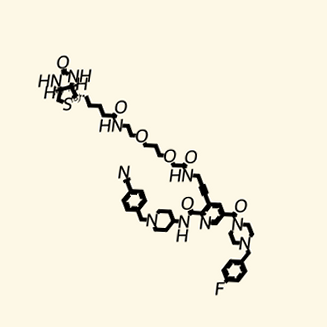 N#Cc1ccc(CN2CCC(NC(=O)c3ncc(C(=O)N4CCN(Cc5ccc(F)cc5)CC4)cc3C#CCNC(=O)COCCCOCCNC(=O)CCCC[C@@H]3SC[C@@H]4NC(=O)N[C@@H]43)CC2)cc1